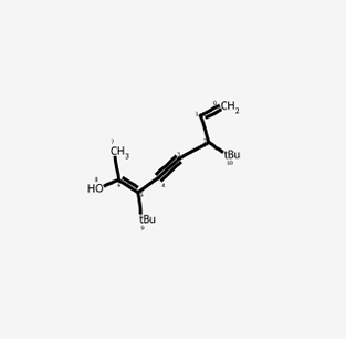 C=CC(C#C/C(=C(\C)O)C(C)(C)C)C(C)(C)C